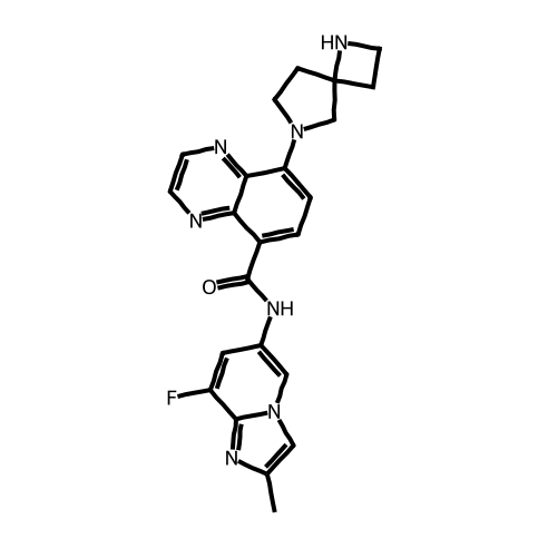 Cc1cn2cc(NC(=O)c3ccc(N4CCC5(CCN5)C4)c4nccnc34)cc(F)c2n1